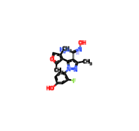 Cc1coc(C)c1-c1c(/C(N)=N/O)c(C)nn1-c1ccc(O)cc1F